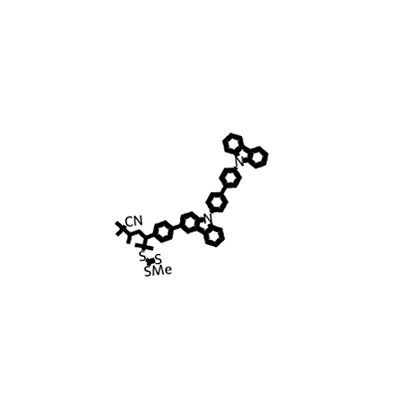 CSC(=S)SC(C)(C)C(CC(C)C(C)(C)C#N)c1ccc(-c2ccc3c(c2)c2ccccc2n3-c2ccc(-c3ccc(-n4c5ccccc5c5ccccc54)cc3)cc2)cc1